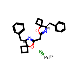 [Br-].[Br-].[Pd+2].c1ccc(C[C@H]2N=C(CC3=N[C@H](Cc4ccccc4)C4(CCC4)O3)OC23CCC3)cc1